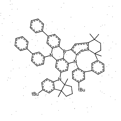 CC(C)(C)c1ccc2c(c1)-c1cccc(c1)C1(C)CCC(C)(C)c3cc4c(cc31)N2c1cc(N2c3ccc(C(C)(C)C)cc3C3(C)CCCC23C)cc2c1B4c1ccc(-c3ccccc3)cc1N2c1cccc(-c2ccccc2)c1